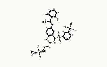 C/C(=C\c1ccc2c(c1)N(S(=O)(=O)c1cccc(C(F)(F)F)c1)C[C@H](CCNS(=O)(=O)C1CC1)O2)c1c(F)cccc1Cl